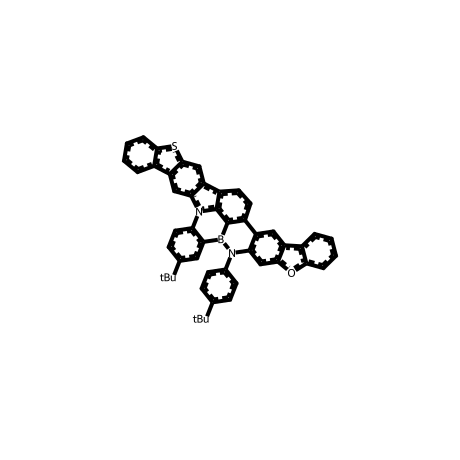 CC(C)(C)c1ccc(N2B3c4cc(C(C)(C)C)ccc4-n4c5cc6c(cc5c5ccc(c3c54)-c3cc4c(cc32)oc2ccccc24)sc2ccccc26)cc1